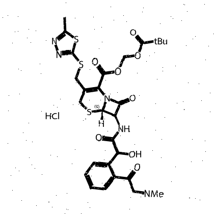 CNCC(=O)c1ccccc1C(O)C(=O)NC1C(=O)N2C(C(=O)OCOC(=O)C(C)(C)C)=C(CSc3nnc(C)s3)CS[C@@H]12.Cl